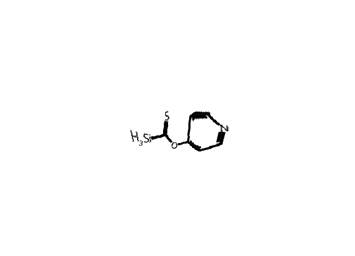 [SiH3]C(=S)Oc1ccncc1